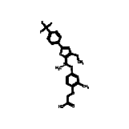 CCc1nc(-c2ccc(C(F)(F)F)cc2)oc1[C@@H](C)Sc1ccc(OCC(=O)O)c(C)c1